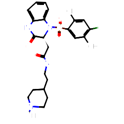 Cc1cc(S(=O)(=O)N2c3ccccc3NC(=O)[C@@H]2CC(=O)NCCC2CCN(C)CC2)c(C)cc1Cl